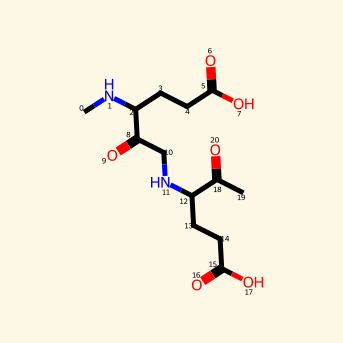 CNC(CCC(=O)O)C(=O)CNC(CCC(=O)O)C(C)=O